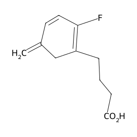 C=C1C=CC(F)=C(CCCC(=O)O)C1